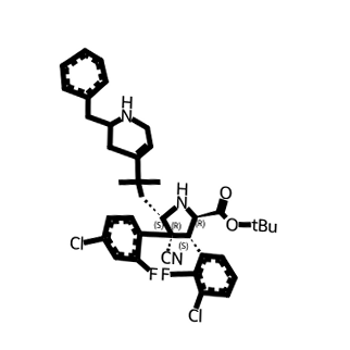 CC(C)(C)OC(=O)[C@@H]1N[C@@H](CC(C)(C)C2=CCNC(Cc3ccccc3)C2)[C@](C#N)(c2ccc(Cl)cc2F)[C@H]1c1cccc(Cl)c1F